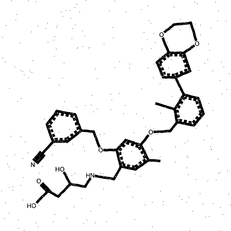 Cc1cc(CNCC(O)CC(=O)O)c(OCc2cccc(C#N)c2)cc1OCc1cccc(-c2ccc3c(c2)OCCO3)c1C